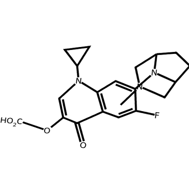 CN1CC2CCC(C1)N2c1cc2c(cc1F)c(=O)c(OC(=O)O)cn2C1CC1